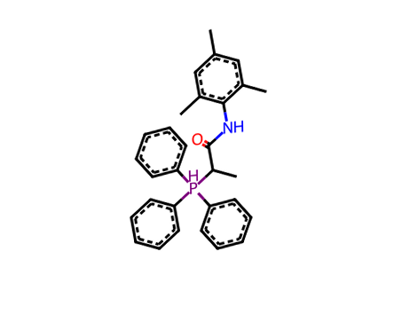 Cc1cc(C)c(NC(=O)C(C)[PH](c2ccccc2)(c2ccccc2)c2ccccc2)c(C)c1